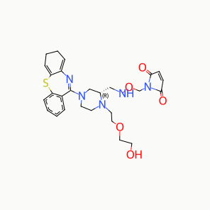 O=C1C=CC(=O)N1CONC[C@H]1CN(C2=NC3=CCCC=C3Sc3ccccc32)CCN1CCOCCO